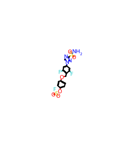 NS(=O)(=O)c1ncn(-c2cc(F)c(COc3ccc(OS(=O)(=O)F)cc3)c(F)c2)n1